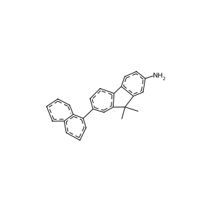 CC1(C)c2cc(N)ccc2-c2ccc(-c3cccc4ccccc34)cc21